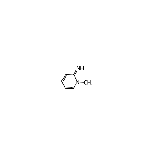 Cn1ccccc1=N